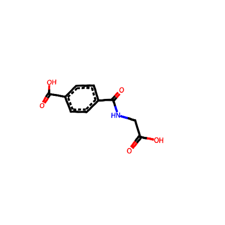 O=C(O)CNC(=O)c1ccc(C(=O)O)cc1